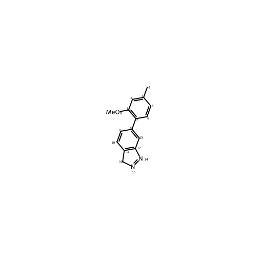 COc1cc(C)ccc1-c1ccc2c(c1)N=NC2